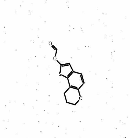 O=COc1cc2ccc3c(c2s1)CCCO3